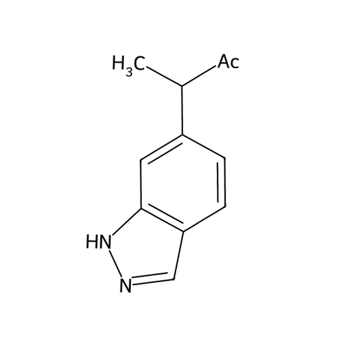 CC(=O)C(C)c1ccc2cn[nH]c2c1